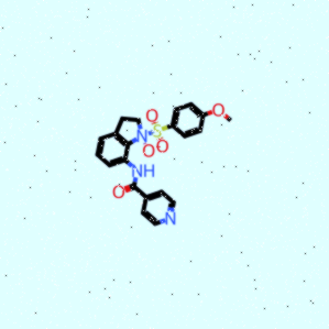 COc1ccc(S(=O)(=O)[N+]2([O-])CCc3cccc(NC(=O)c4ccncc4)c32)cc1